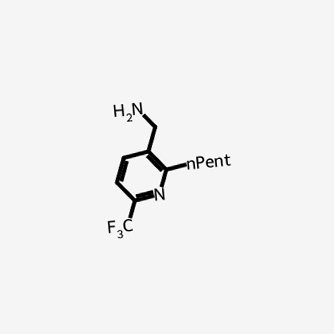 CCCCCc1nc(C(F)(F)F)ccc1CN